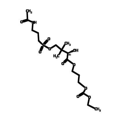 CCOC(=O)OCCCOC(=O)[C@H](O)C(C)(C)COS(=O)(=O)CCCNC(C)=O